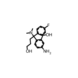 CN(C)C(CCCO)(c1ccc(F)cc1)c1ccc(N)cc1CO